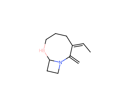 C=C1/C(=C\C)CCCBC2CCN12